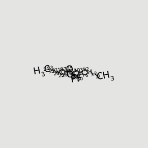 CCCCCc1ccc(-c2ccc(OC(=O)C3CCC(CCCCC)CC3)c(F)c2F)cc1